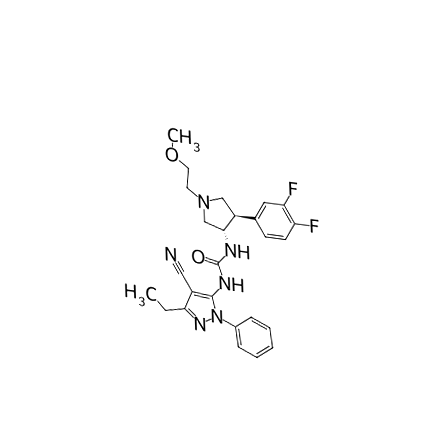 CCc1nn(-c2ccccc2)c(NC(=O)N[C@@H]2CN(CCOC)C[C@H]2c2ccc(F)c(F)c2)c1C#N